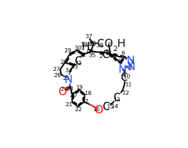 Cc1c2ccc3c1nnn3CCCCCCOc1ccc(cc1)C(=O)N1CCc3ccc(cc3C1)[C@@H]2[C@@H](C)C(=O)O